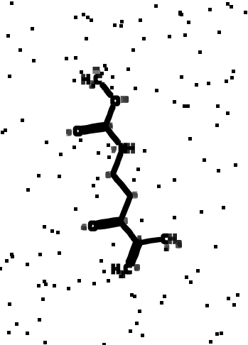 C=C(C)C(=O)CCNC(=O)OC